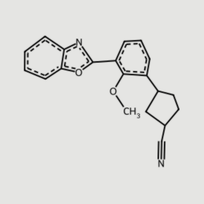 COc1c(-c2nc3ccccc3o2)cccc1C1CCC(C#N)C1